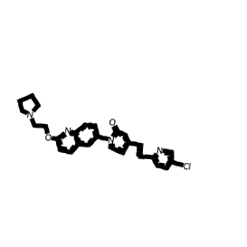 O=c1cc(/C=C/c2ccc(Cl)cn2)ccn1-c1ccc2nc(OCCN3CCCC3)ccc2c1